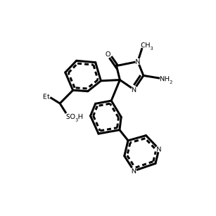 CCC(c1cccc(C2(c3cccc(-c4cncnc4)c3)N=C(N)N(C)C2=O)c1)S(=O)(=O)O